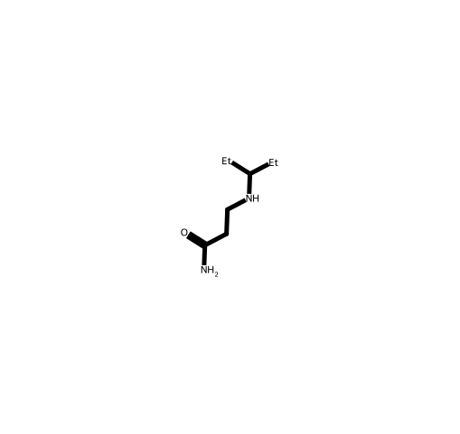 CCC(CC)NCCC(N)=O